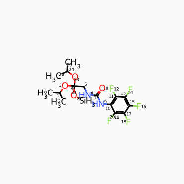 CC(C)OC(CNC(=O)Nc1c(F)c(F)c(F)c(F)c1F)(O[SiH3])OC(C)C